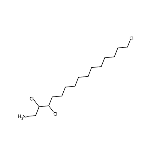 [SiH3]CC(Cl)C(Cl)CCCCCCCCCCCCCl